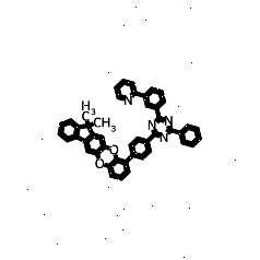 CC1(C)c2ccccc2-c2cc3c(cc21)Oc1c(cccc1-c1ccc(-c2nc(-c4ccccc4)nc(-c4cccc(-c5ccccn5)c4)n2)cc1)O3